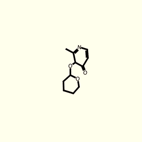 CC1=NC=CC(=O)C1OC1CCCCO1